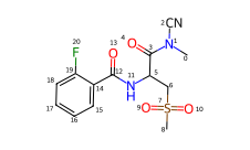 CN(C#N)C(=O)C(CS(C)(=O)=O)NC(=O)c1ccccc1F